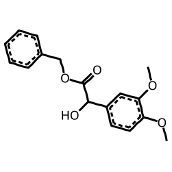 COc1ccc(C(O)C(=O)OCc2ccccc2)cc1OC